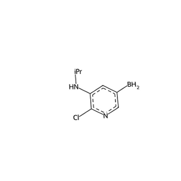 Bc1cnc(Cl)c(NC(C)C)c1